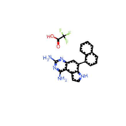 Nc1nc(N)c2c(cc(-c3cccc4ccccc34)c3[nH]ccc32)n1.O=C(O)C(F)(F)F